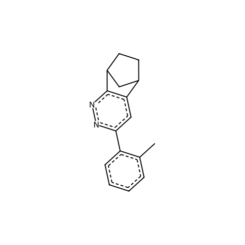 Cc1ccccc1-c1cc2c(nn1)C1CCC2C1